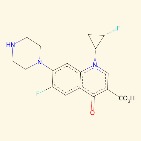 O=C(O)c1cn([C@@H]2C[C@@H]2F)c2cc(N3CCNCC3)c(F)cc2c1=O